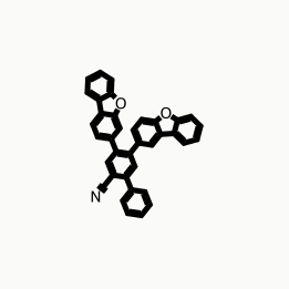 N#Cc1cc(-c2ccc3c(c2)oc2ccccc23)c(-c2ccc3oc4ccccc4c3c2)cc1-c1ccccc1